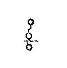 COCC1(Nc2ccccc2)CCN(CCc2ccccc2)CC1